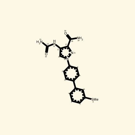 CSc1cccc(-c2ccc(-n3cc(NC(N)=O)c(C(N)=O)n3)cc2)c1